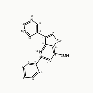 Oc1nc(-c2ccccn2)nc2c(-c3cncnc3)csc12